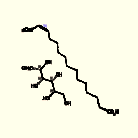 CCCCCCCC/C=C\CCCCCCCCCCCC(=O)O.O=C[C@H](O)[C@@H](O)[C@H](O)[C@H](O)CO